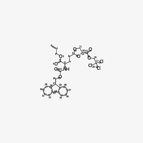 C=CCOC(=O)C(CCC1OC[C@@H](C(=O)OCC(Cl)(Cl)Cl)O1)NC(=O)OCC1c2ccccc2-c2ccccc21